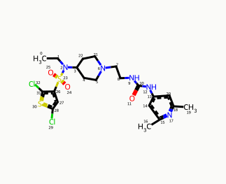 CCN(C1CCN(CCNC(=O)Nc2cc(C)nc(C)c2)CC1)S(=O)(=O)c1cc(Cl)sc1Cl